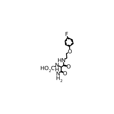 NC(=O)C(NC(=O)O)C(=O)NCCOc1ccc(F)cc1